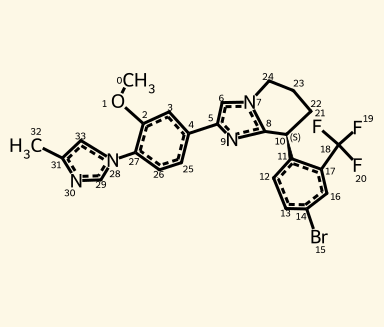 COc1cc(-c2cn3c(n2)[C@H](c2ccc(Br)cc2C(F)(F)F)CCC3)ccc1-n1cnc(C)c1